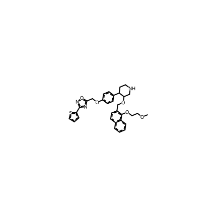 COCCOc1c(COC2CNCCC2c2ccc(OCc3nc(-c4cccs4)no3)cc2)ccc2ccccc12